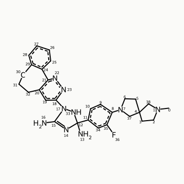 CN1CCC2(CCN(c3ccc(C4(N)N=C(N)N(c5cc6c(nn5)-c5ccccc5CCC6)N4)cc3F)C2)C1